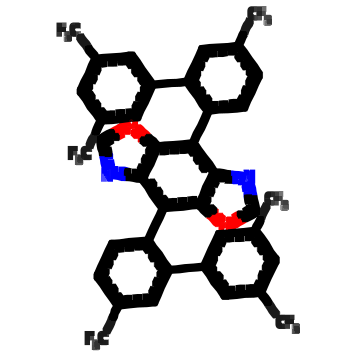 FC(F)(F)c1cc(-c2cc(C(F)(F)F)ccc2-c2c3ncoc3c(-c3ccc(C(F)(F)F)cc3-c3cc(C(F)(F)F)cc(C(F)(F)F)c3)c3ncoc23)cc(C(F)(F)F)c1